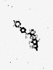 Cc1cc2c(F)c(Oc3ncnc(Nc4ccc(N5C[C@@H](C)N(C)[C@@H](C)C5)cc4)c3C#N)cc(F)c2[nH]1